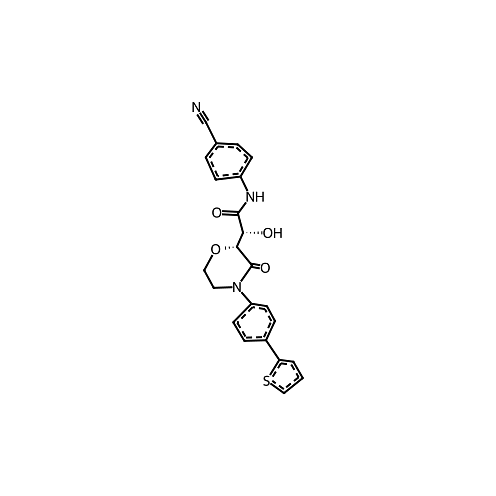 N#Cc1ccc(NC(=O)[C@H](O)[C@H]2OCCN(c3ccc(-c4cccs4)cc3)C2=O)cc1